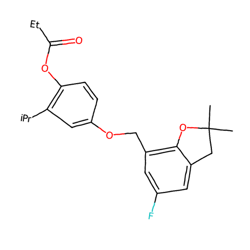 CCC(=O)Oc1ccc(OCc2cc(F)cc3c2OC(C)(C)C3)cc1C(C)C